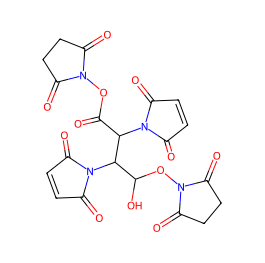 O=C(ON1C(=O)CCC1=O)C(C(C(O)ON1C(=O)CCC1=O)N1C(=O)C=CC1=O)N1C(=O)C=CC1=O